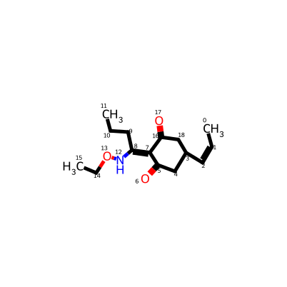 C/C=C\C1CC(=O)C(=C(CCC)NOCC)C(=O)C1